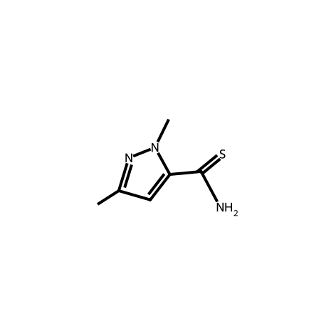 Cc1cc(C(N)=S)n(C)n1